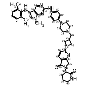 Cc1cccc(C)c1Nc1nn(C)c2nc(Nc3ccc(N4CCN(CC5CN(c6ccc7c(n6)CN(C6CCCNC6=O)C7=O)C5)CC4)cc3)ncc12